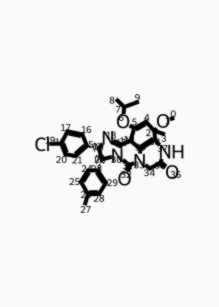 COC1(C)C=C(OC(C)C)C2(C)C3=N[C@@H](c4ccc(Cl)cc4)[C@@H](c4ccc(C)cc4)N3C(=O)N3CC(=O)NC1=C32